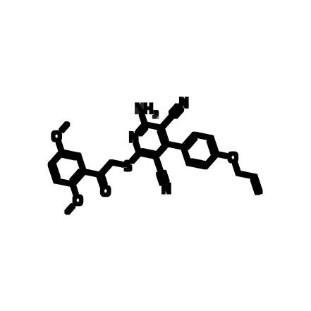 C=CCOc1ccc(-c2c(C#N)c(N)nc(SCC(=O)c3cc(OC)ccc3OC)c2C#N)cc1